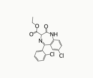 CCOC(=O)C1N=C(c2ccccc2Cl)c2cc(Cl)ccc2NC1=O